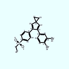 O=S(=O)(CF)c1ccc(C2=CC3(C=C2c2ccc(Br)c(Br)c2)CC3)cc1